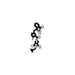 O=C(c1cc(Cc2n[nH]c(=O)c3ccccc23)ccc1F)N1C=C2C(=O)N(CC3CC3)C(=O)C2C1